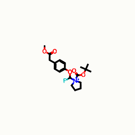 COC(=O)Cc1ccc(OC(F)[N+]2(C(=O)OC(C)(C)C)CCCC2)cc1